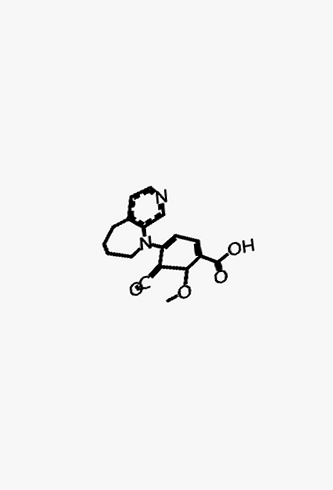 COC1C(=C=O)C(N2CCCCc3ccncc32)=CC=C1C(=O)O